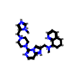 CN(Cc1cn2c(N3CCN(Cc4cncn4C)CC3)nccc2n1)C1CCCc2cccnc21